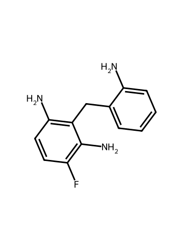 Nc1ccccc1Cc1c(N)ccc(F)c1N